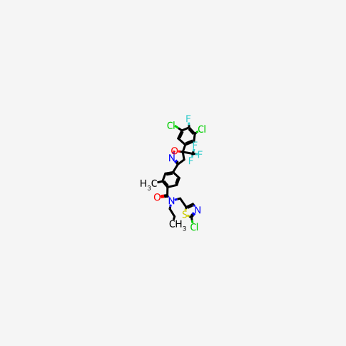 CCCN(Cc1cnc(Cl)s1)C(=O)c1ccc(C2=NOC(c3cc(Cl)c(F)c(Cl)c3)(C(F)(F)F)C2)cc1C